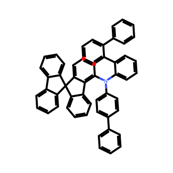 c1ccc(-c2ccc(N(c3ccccc3-c3ccccc3-c3ccccc3)c3cccc4c3-c3ccccc3C43c4ccccc4-c4ccccc43)cc2)cc1